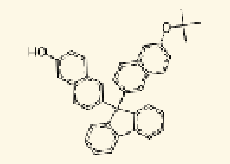 CC(C)(C)Oc1ccc2cc(C3(c4ccc5cc(O)ccc5c4)c4ccccc4-c4ccccc43)ccc2c1